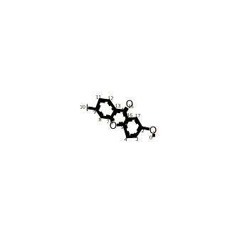 COc1ccc2oc3cc(I)ccc3c(=O)c2c1